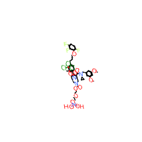 COc1cc(CN(C(=O)C2=C(c3ccc(CCCOc4c(F)ccc(F)c4F)cc3)CC3CN(C(=O)OCCOCCON(O)O)CC2N3C(=O)OC(C)(C)C(Cl)(Cl)Cl)C2CC2)cc(OC)c1